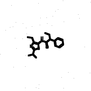 CCc1nc(C(C)C)sc1NC(=O)C(CC)c1ccccc1